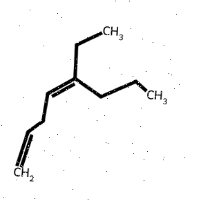 C=CCC=C(CC)CCC